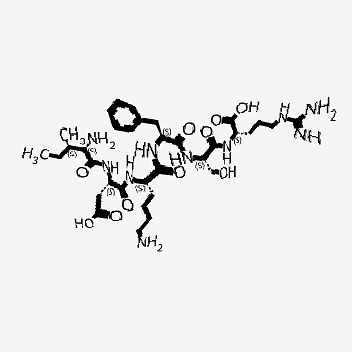 CC[C@H](C)[C@H](N)C(=O)N[C@@H](CC(=O)O)C(=O)N[C@@H](CCCCN)C(=O)N[C@@H](Cc1ccccc1)C(=O)N[C@@H](CO)C(=O)N[C@@H](CCCNC(=N)N)C(=O)O